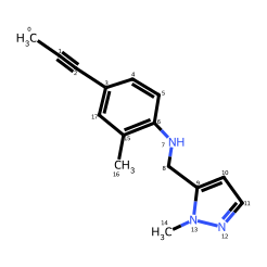 CC#Cc1ccc(NCc2ccnn2C)c(C)c1